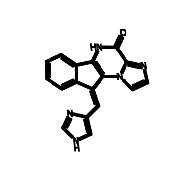 O=c1[nH]c2c3ccccc3/c(=C\c3c[nH]cn3)c2n2ccnc12